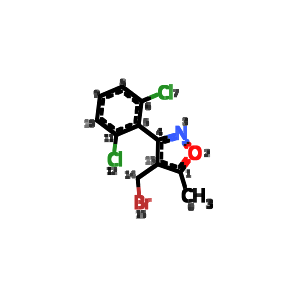 Cc1onc(-c2c(Cl)cccc2Cl)c1CBr